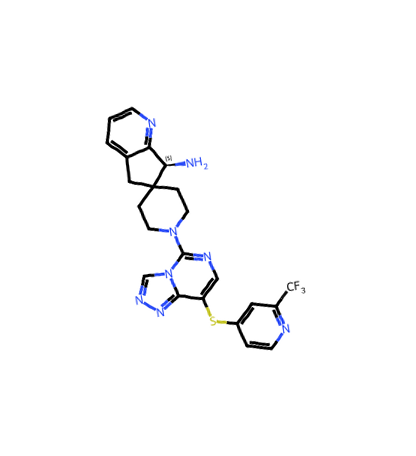 N[C@@H]1c2ncccc2CC12CCN(c1ncc(Sc3ccnc(C(F)(F)F)c3)c3nncn13)CC2